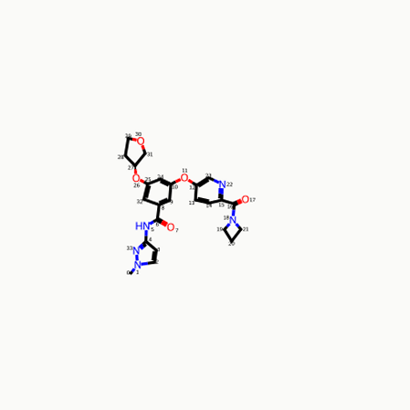 Cn1ccc(NC(=O)c2cc(Oc3ccc(C(=O)N4CCC4)nc3)cc(O[C@H]3CCOC3)c2)n1